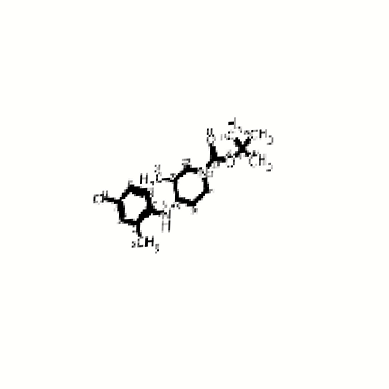 Cc1cc(Cl)ccc1N[C@H]1CCN(C(=O)OC(C)(C)C)C[C@@H]1C